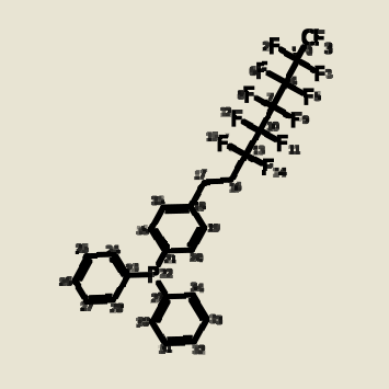 FC(F)(F)C(F)(F)C(F)(F)C(F)(F)C(F)(F)C(F)(F)CCc1ccc(P(c2ccccc2)c2ccccc2)cc1